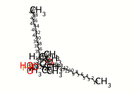 CCCCCCCCCCCCCCCCCCOc1c(C(C)(C)C)cc(CO[PH](=O)O)c(CCCCCCCCCCCCCCCCCC)c1C(C)(C)C